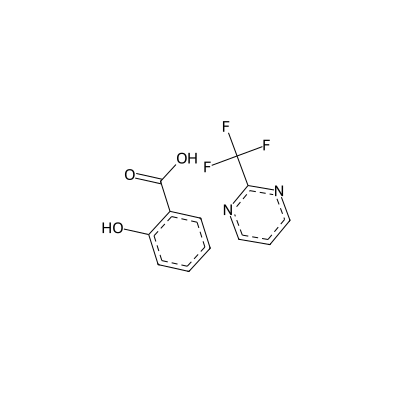 FC(F)(F)c1ncccn1.O=C(O)c1ccccc1O